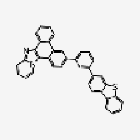 c1cc(-c2ccc3c(c2)sc2ccccc23)cc(-c2ccc3c(c2)c2ccccc2c2nc4ccccn4c32)c1